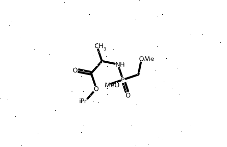 COCP(=O)(NC(C)C(=O)OC(C)C)OC